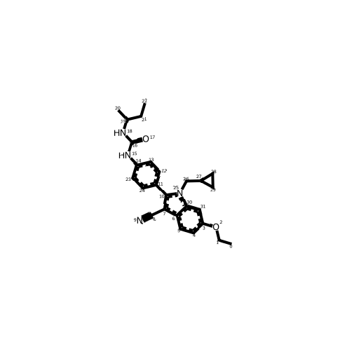 CCOc1ccc2c(C#N)c(-c3ccc(NC(=O)NC(C)CC)cc3)n(CC3CC3)c2c1